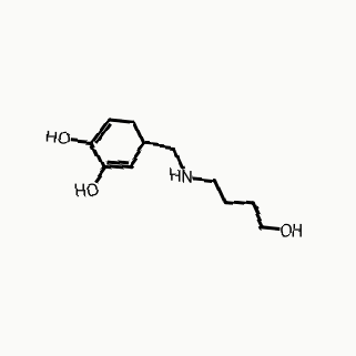 OCCCCNCC1C=C(O)C(O)=CC1